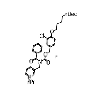 CCCCCCCCCCCCCCOc1ccc(COC(=O)N(Cc2ccc[n+](CCC)c2)C(=O)c2ccccc2)cc1Cl.[I-]